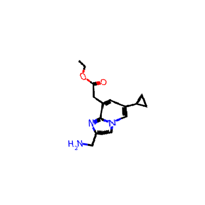 CCOC(=O)Cc1cc(C2CC2)cn2cc(CN)nc12